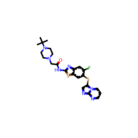 CC(C)(C)N1CCN(CC(=O)Nc2nc3cc(F)c(Sc4cnc5ncccn45)cc3s2)CC1